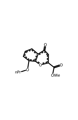 CCCOc1cccc2c(=O)cc(C(=O)OC)oc12